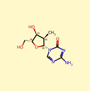 C[C@@H]1[C@H](O)[C@@H](CO)O[C@H]1n1cnc(N)nc1=O